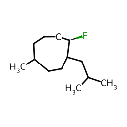 CC(C)CC1CCC(C)CCC[C@H]1F